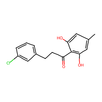 Cc1cc(O)c(C(=O)CCc2cccc(Cl)c2)c(O)c1